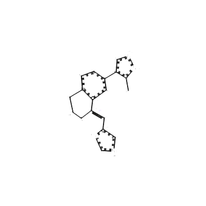 Cc1n[nH]cc1-c1ccc2c(c1)/C(=C/c1c[nH]cn1)CCC2